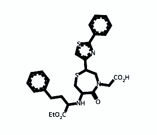 CCOC(=O)C(CCc1ccccc1)NC1CSC(c2csc(-c3ccccc3)n2)CN(CC(=O)O)C1=O